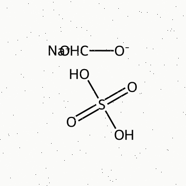 O=C[O-].O=S(=O)(O)O.[Na+]